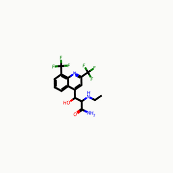 CCNC(C(N)=O)C(O)c1cc(C(F)(F)F)nc2c(C(F)(F)F)cccc12